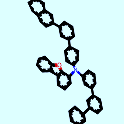 c1ccc(-c2cccc(-c3cccc(N(c4ccc(-c5cccc(-c6ccc7ccccc7c6)c5)cc4)c4cccc5c4oc4ccccc45)c3)c2)cc1